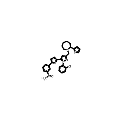 C[S+]([O-])c1cccc(-c2ccc(-c3cc(CN4CCCCCC4c4cccs4)nn3-c3ccccc3Cl)s2)c1